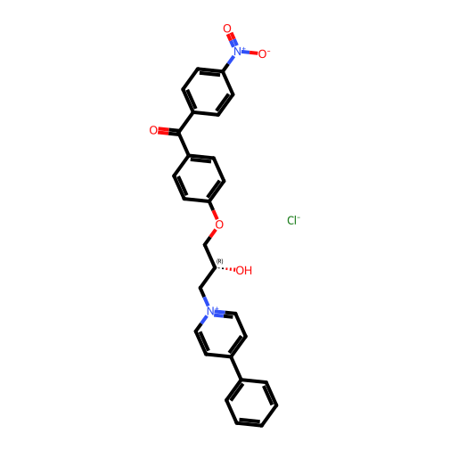 O=C(c1ccc(OC[C@H](O)C[n+]2ccc(-c3ccccc3)cc2)cc1)c1ccc([N+](=O)[O-])cc1.[Cl-]